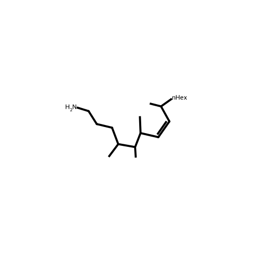 CCCCCCC(C)/C=C\C(C)C(C)C(C)CCCN